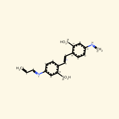 C=CC=Nc1ccc(/C=C/c2ccc(N=C)cc2S(=O)(=O)O)c(S(=O)(=O)O)c1